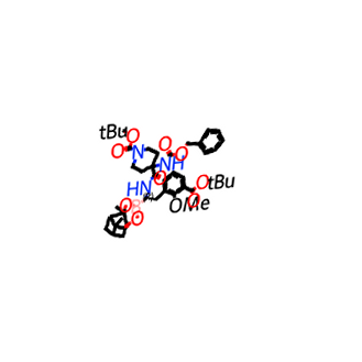 COc1c(C[C@H](NC(=O)C2(NC(=O)OCc3ccccc3)CCN(C(=O)OC(C)(C)C)CC2)B2OC3CC4CC(C4(C)C)C3(C)O2)cccc1C(=O)OC(C)(C)C